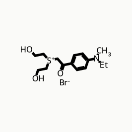 CCN(C)c1ccc(C(=O)C[S+](CCO)CCO)cc1.[Br-]